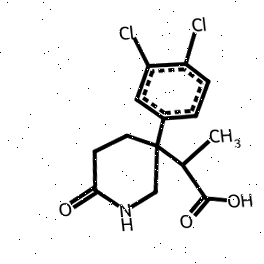 CC(C(=O)O)C1(c2ccc(Cl)c(Cl)c2)CCC(=O)NC1